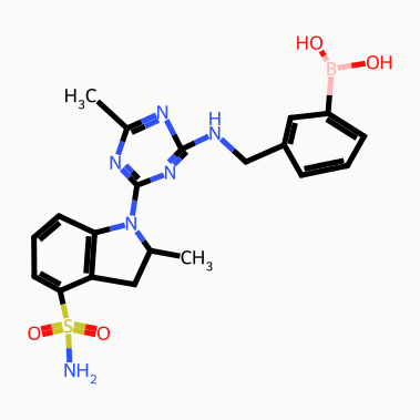 Cc1nc(NCc2cccc(B(O)O)c2)nc(N2c3cccc(S(N)(=O)=O)c3CC2C)n1